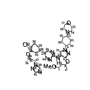 COCCC(C)Oc1nn(C2CCC(N3CCOCC3)CC2)cc1Nc1ncc(-c2ccc(Cl)c(O[C@@H](C)Cn3cncn3)c2)cn1